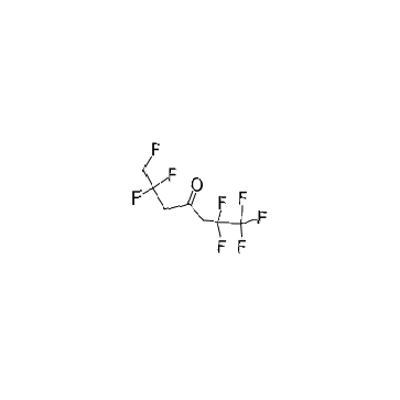 O=C(CC(F)(F)CF)CC(F)(F)C(F)(F)F